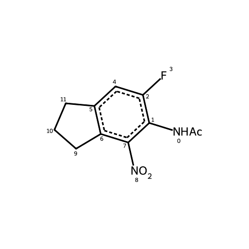 CC(=O)Nc1c(F)cc2c(c1[N+](=O)[O-])CCC2